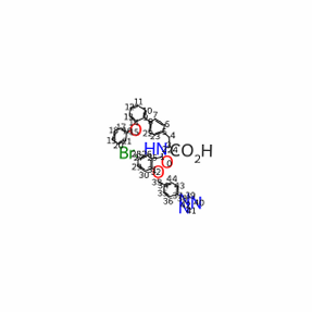 O=C(NC(Cc1ccc(-c2ccccc2Oc2ccccc2)cc1)C(=O)O)c1cc(Br)ccc1OCc1ccc(-n2cncn2)cc1